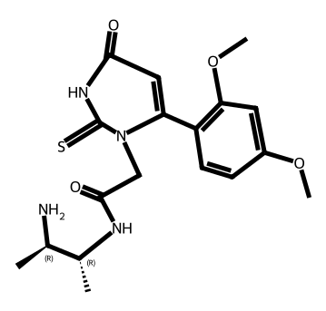 COc1ccc(-c2cc(=O)[nH]c(=S)n2CC(=O)N[C@H](C)[C@@H](C)N)c(OC)c1